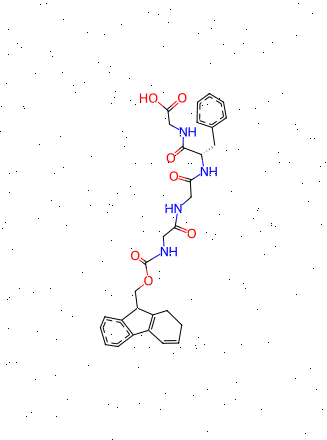 O=C(O)CNC(=O)[C@H](Cc1ccccc1)NC(=O)CNC(=O)CNC(=O)OCC1C2=C(C=CCC2)c2ccccc21